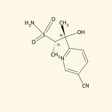 C[C@@H]([C@](C)(O)c1ccc(C#N)cn1)S(N)(=O)=O